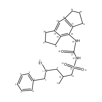 CCN(Cc1ccccc1)CC(C)CS(=O)(=O)NC(=O)Nc1c2c(cc3c1CCC3)CCC2